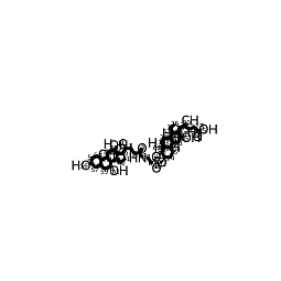 C[C@H](CCC(=O)NCCS(=O)(=O)O[C@@H]1CC[C@@]2(C)[C@H](CC[C@@H]3[C@@H]2C[C@H](O)[C@]2(C)[C@@H]([C@H](C)CCC(=O)O)CC[C@@H]32)C1)[C@H]1CCC2C3C(C[C@H](O)[C@@]21C)[C@@]1(C)CC[C@@H](O)CC1C[C@H]3O